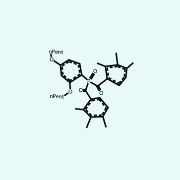 CCCCCOc1ccc(P(=O)(C(=O)c2ccc(C)c(C)c2C)C(=O)c2ccc(C)c(C)c2C)c(OCCCCC)c1